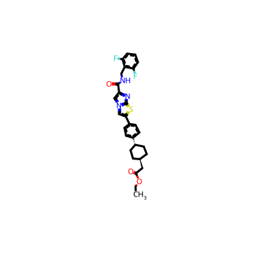 CCOC(=O)C[C@H]1CC[C@H](c2ccc(-c3cn4cc(C(=O)NCc5c(F)cccc5F)nc4s3)cc2)CC1